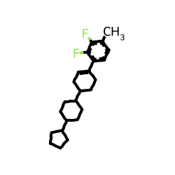 Cc1ccc(C2=CCC(C3CCC(C4CCCC4)CC3)CC2)c(F)c1F